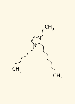 CCCCCCCCC1N(CCC)C=CN1CCCCCCC